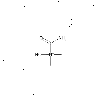 C[N+](C)(C#N)C(N)=O